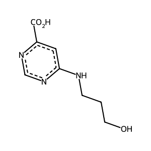 O=C(O)c1cc(NCCCO)ncn1